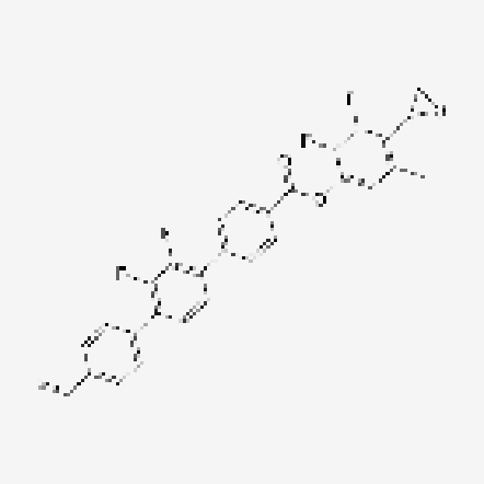 C=Cc1ccc(-c2ccc(-c3ccc(C(=O)OC4=CC(C)=C(C5CO5)C(F)C4F)cc3)c(F)c2F)cc1